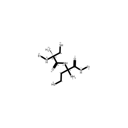 CCNC(=O)C(N)(CCS)NC(=O)[C@](C)(CS)NCC